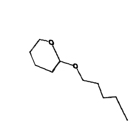 CCCCCOC1CCCCO1